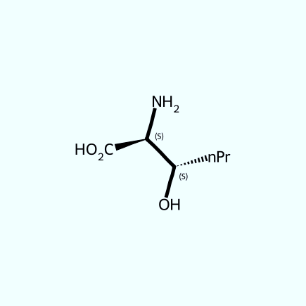 CCC[C@H](O)[C@H](N)C(=O)O